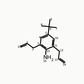 C=CCc1cc(C(C)(C)C)cc(CC=C)c1N